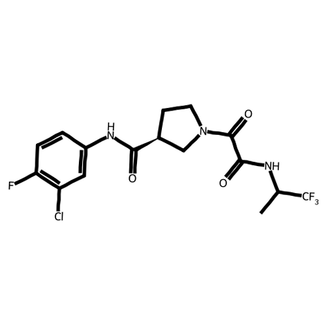 CC(NC(=O)C(=O)N1CC[C@H](C(=O)Nc2ccc(F)c(Cl)c2)C1)C(F)(F)F